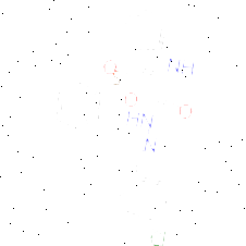 O=C(NN=Cc1ccc(Cl)cc1)c1[nH]c2ccccc2c1S(=O)(=O)c1ccccc1